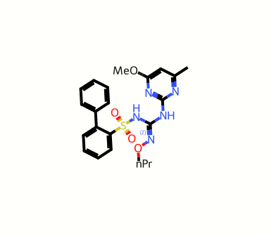 CCCO/N=C(/Nc1nc(C)cc(OC)n1)NS(=O)(=O)c1ccccc1-c1ccccc1